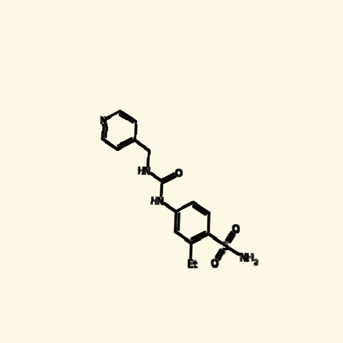 CCc1cc(NC(=O)NCc2ccncc2)ccc1S(N)(=O)=O